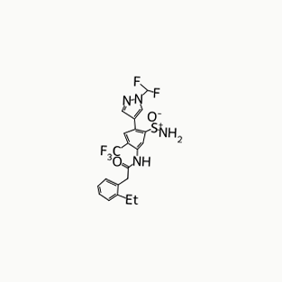 CCc1ccccc1CC(=O)Nc1cc([S+](N)[O-])c(-c2cnn(C(F)F)c2)cc1C(F)(F)F